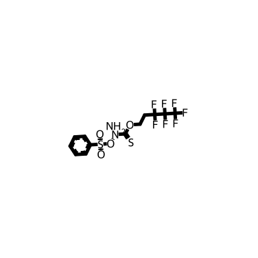 NN(OS(=O)(=O)c1ccccc1)C(=S)OCCC(F)(F)C(F)(F)C(F)(F)F